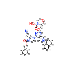 N#CCC1CN(c2nc(OC[C@@H]3COCCN3C(=O)O)nc3c2CCN(c2cccc4ccccc24)C3)CCN1C(=O)OCc1ccccc1